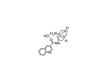 Cl.NC12C[C@H]3C[C@@H](C1)CC(NC(=O)c1cnc4ccccc4c1)(C3)C2